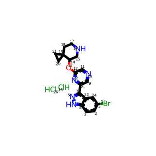 Brc1ccc2[nH]nc(-c3cncc(OC4CNCCC45CC5)n3)c2c1.Cl.Cl